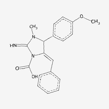 COc1ccc(C2C(=Cc3ccccc3)N(C(=O)O)C(=N)N2C)cc1